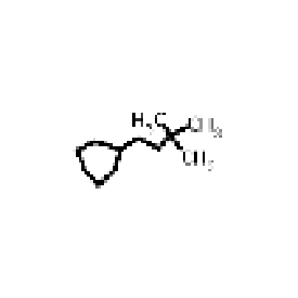 CC(C)(C)CCC1CCCCC1